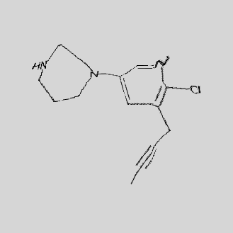 CC#CCc1cc(N2CCCNCC2)cnc1Cl